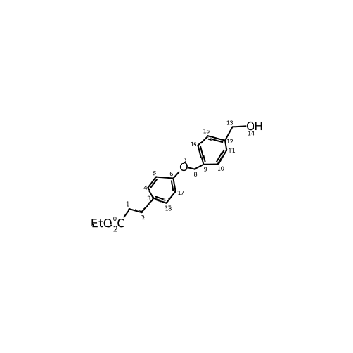 CCOC(=O)CCc1ccc(OCc2ccc(CO)cc2)cc1